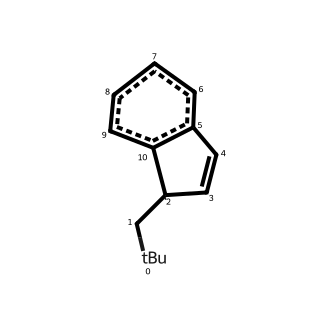 CC(C)(C)C[C]1C=Cc2ccccc21